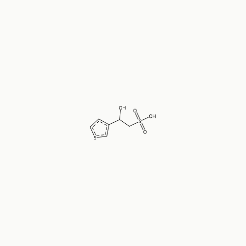 O=S(=O)(O)CC(O)c1ccsc1